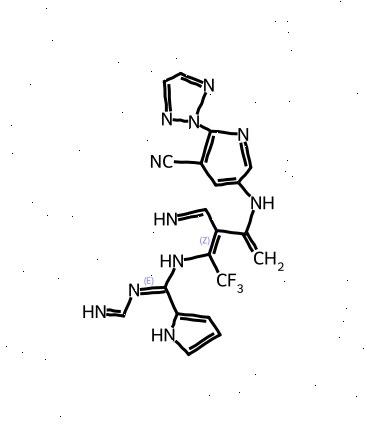 C=C(Nc1cnc(-n2nccn2)c(C#N)c1)/C(C=N)=C(/N/C(=N/C=N)c1ccc[nH]1)C(F)(F)F